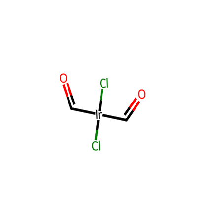 O=[CH][Ir]([Cl])([Cl])[CH]=O